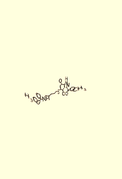 COC(=O)NCCCCCSC1=CC(=O)c2[nH]nc(C(=O)OC)c2C1=O